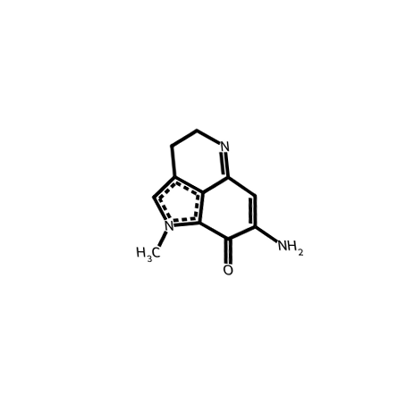 Cn1cc2c3c1C(=O)C(N)=CC3=NCC2